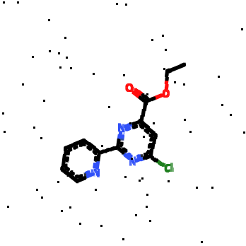 CCOC(=O)c1cc(Cl)nc(-c2ccccn2)n1